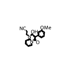 COc1cccc(-c2c(O)n(CCC#N)c3cccc[n+]3c2=O)c1